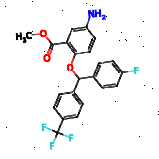 COC(=O)c1cc(N)ccc1OC(c1ccc(F)cc1)c1ccc(C(F)(F)F)cc1